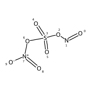 O=NOS(=O)(=O)O[N+](=O)[O-]